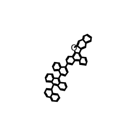 c1ccc2cc3c(cc2c1)oc1c2ccc(-c4ccc(-c5c6ccccc6c(-c6cccc7ccccc67)c6ccccc56)c5ccccc45)cc2c2ccccc2c31